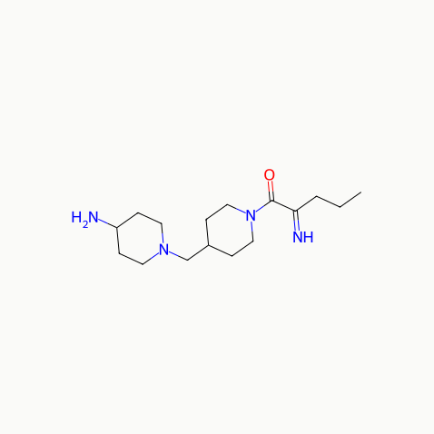 CCCC(=N)C(=O)N1CCC(CN2CCC(N)CC2)CC1